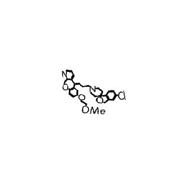 COCCOc1ccc2c(c1)C(=CCCN1CCC3(CC1)OCc1cc(Cl)ccc13)c1cccnc1CO2